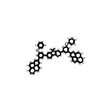 CC1(C)C2=C(CCC(C3=CC(c4cc5c6c7c(ccc6c4)=CCCC7CC=5)=CC(OC4=CC=CCC4)C3)=C2)c2ccc(-c3cc(Oc4ccccc4)cc(-c4cc5c6c7c(ccc6c4)=CCCC7CC=5)c3)cc21